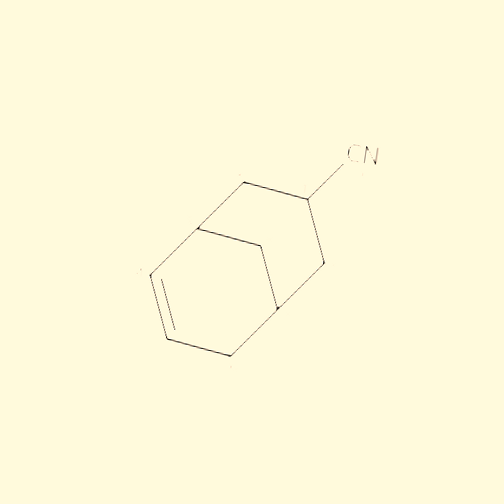 N#CC1CC2C=CCC(C1)C2